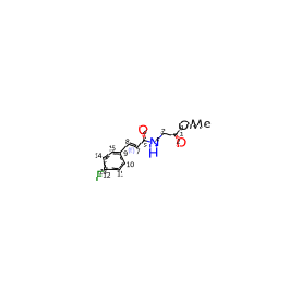 COC(=O)CNC(=O)/C=C/c1ccc(F)cc1